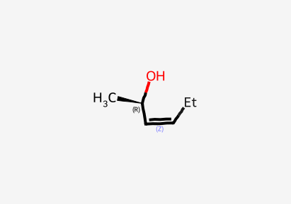 CC/C=C\[C@@H](C)O